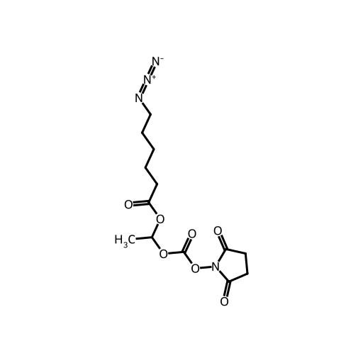 CC(OC(=O)CCCCCN=[N+]=[N-])OC(=O)ON1C(=O)CCC1=O